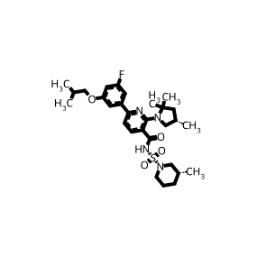 CC(C)COc1cc(F)cc(-c2ccc(C(=O)NS(=O)(=O)N3CCC[C@@H](C)C3)c(N3C[C@@H](C)CC3(C)C)n2)c1